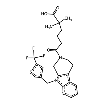 CC(C)(CCCC(=O)N1CCc2c(n(Cc3csc(C(F)(F)F)c3)c3ncccc23)C1)C(=O)O